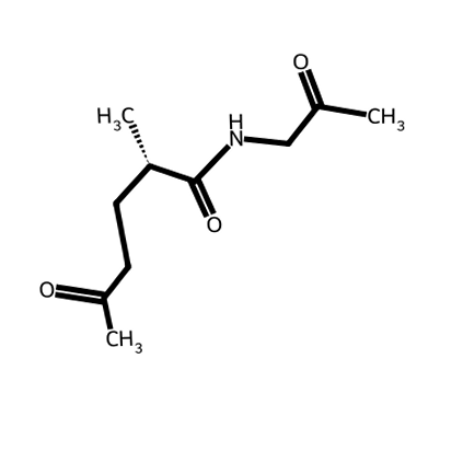 CC(=O)CC[C@H](C)C(=O)NCC(C)=O